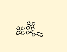 c1ccc(C2(c3ccccc3)c3ccccc3-c3ccc(-c4ccc(N(c5cccc(-c6ccc7ccccc7c6)c5)c5ccc6c(c5)C(c5ccccc5)(c5ccccc5)c5ccccc5-6)cc4)cc32)cc1